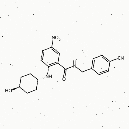 N#Cc1ccc(CNC(=O)c2cc([N+](=O)[O-])ccc2N[C@H]2CC[C@H](O)CC2)cc1